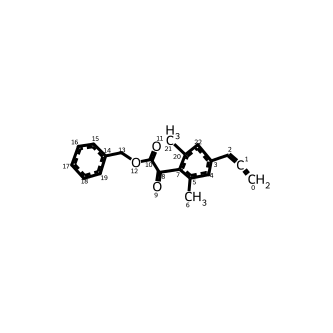 C=C=Cc1cc(C)c(C(=O)C(=O)OCc2ccccc2)c(C)c1